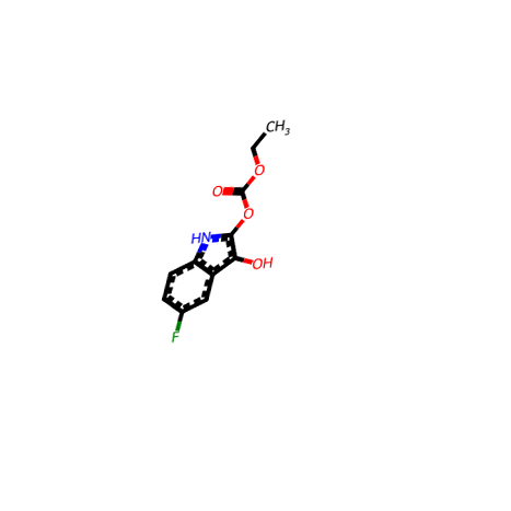 CCOC(=O)Oc1[nH]c2ccc(F)cc2c1O